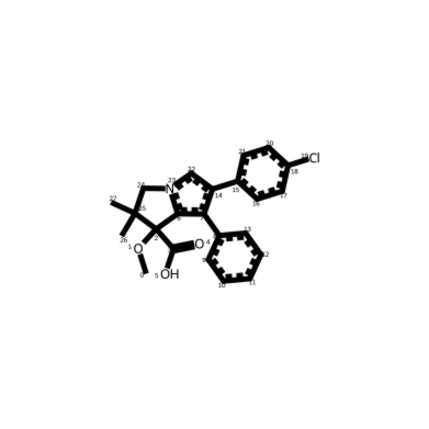 COC1(C(=O)O)c2c(-c3ccccc3)c(-c3ccc(Cl)cc3)[c]n2CC1(C)C